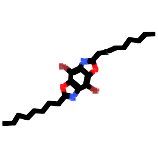 CCCCCCCCc1nc2c(Br)c3oc(CCCCCCCC)nc3c(Br)c2o1